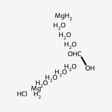 Cl.O.O.O.O.O.O.O.O=CO.[MgH2].[MgH2]